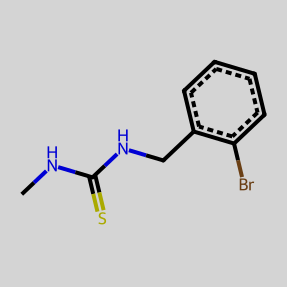 CNC(=S)NCc1ccccc1Br